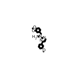 COc1cccc(-c2ccnc(N(N)Cc3ccc4c(c3)OCO4)n2)c1